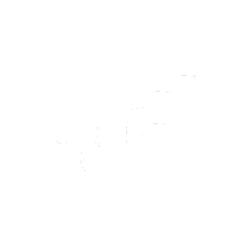 CC(=O)N1CCC2(CC1)CC1=C(C=CC(=CF)C1)O2